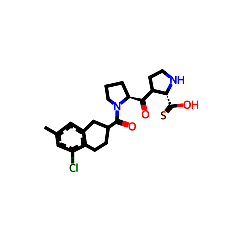 Cc1cc(Cl)c2c(c1)CC(C(=O)N1CCC[C@H]1C(=O)C1CCN[C@@H]1C(O)=S)CC2